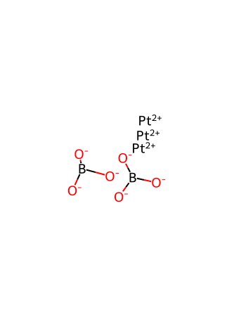 [O-]B([O-])[O-].[O-]B([O-])[O-].[Pt+2].[Pt+2].[Pt+2]